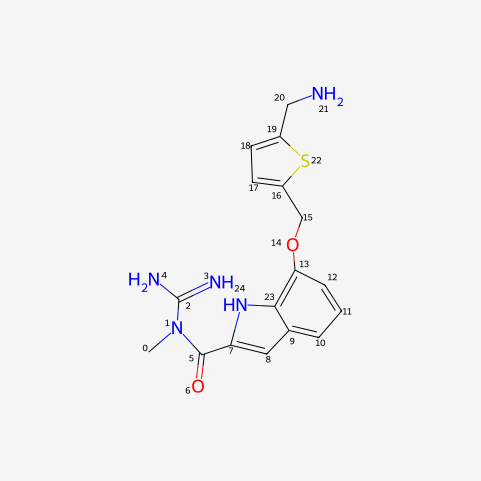 CN(C(=N)N)C(=O)c1cc2cccc(OCc3ccc(CN)s3)c2[nH]1